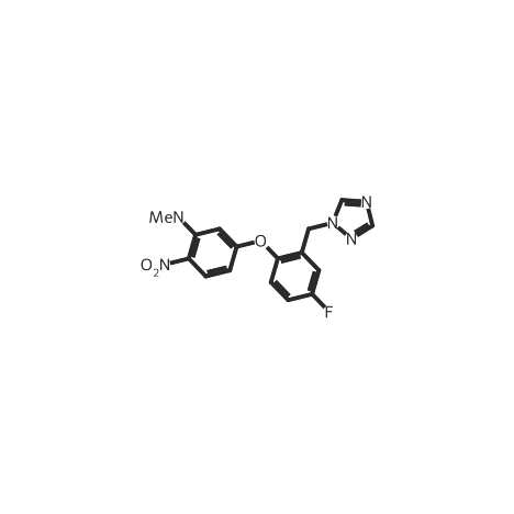 CNc1cc(Oc2ccc(F)cc2Cn2cncn2)ccc1[N+](=O)[O-]